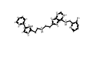 Fc1cccnc1CNc1ncnc2sc(CCNCCc3ncc(-c4ccccn4)[nH]3)nc12